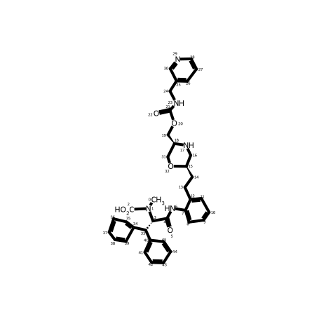 CN(C(=O)O)[C@H](C(=O)Nc1ccccc1CC[C@@H]1CN[C@H](COC(=O)NCc2cccnc2)CO1)C(c1ccccc1)c1ccccc1